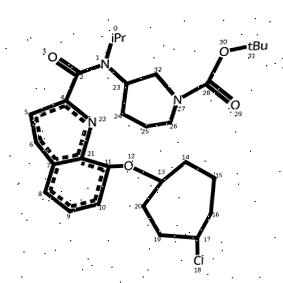 CC(C)N(C(=O)c1ccc2cccc(OC3CCCC(Cl)CC3)c2n1)C1CCCN(C(=O)OC(C)(C)C)C1